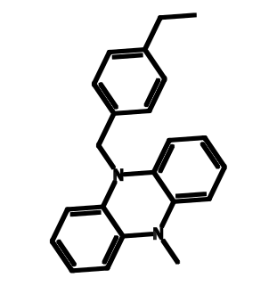 CCc1ccc(CN2c3ccccc3N(C)c3ccccc32)cc1